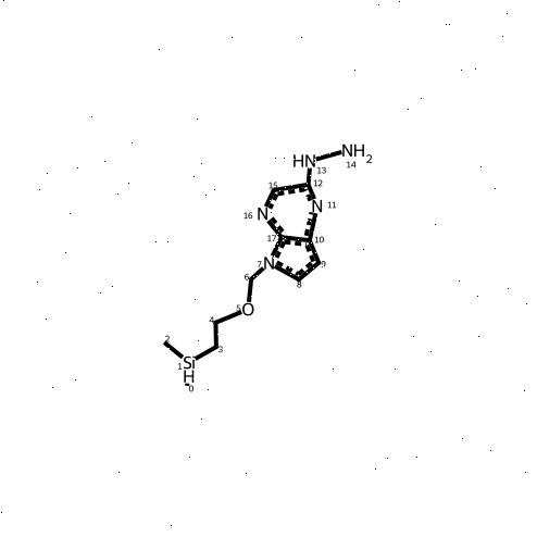 C[SiH](C)CCOCn1ccc2nc(NN)cnc21